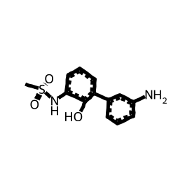 CS(=O)(=O)Nc1cccc(-c2cccc(N)c2)c1O